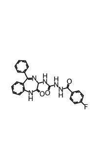 O=C(NNC(=O)c1ccc(F)cc1)NC1N=C(c2ccccc2)c2ccccc2NC1=O